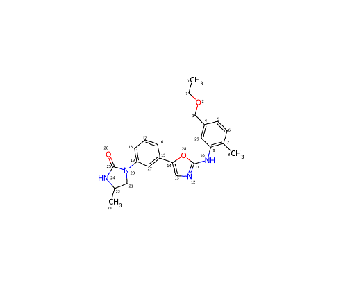 CCOCc1ccc(C)c(Nc2ncc(-c3cccc(N4CC(C)NC4=O)c3)o2)c1